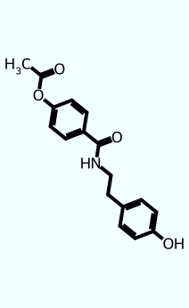 CC(=O)Oc1ccc(C(=O)NCCc2ccc(O)cc2)cc1